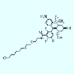 C[Si]1(C)C2=CC(=N)C=CC2=C(c2c(F)c(C(=O)NCCOCCOCCCCCCCl)c(F)c(F)c2C(=O)O)c2ccc(N)cc21